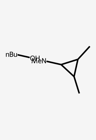 CCCCO.CNC1C(C)C1C